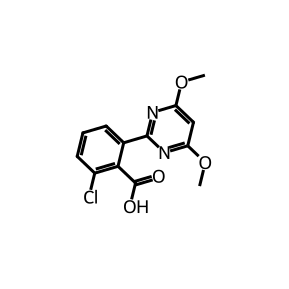 COc1cc(OC)nc(-c2cccc(Cl)c2C(=O)O)n1